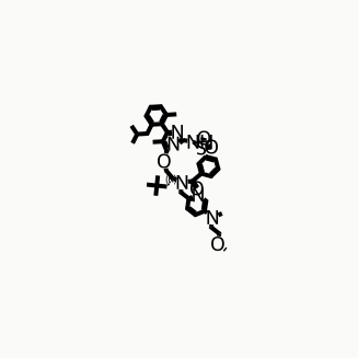 COCCN(C)c1ccc(CN2C(=O)c3cccc(c3)S(=O)(=O)Nc3nc(c(C)c(-c4c(C)cccc4CC(C)C)n3)OC[C@H]2CC(C)(C)C)nc1